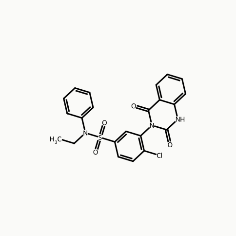 CCN(c1ccccc1)S(=O)(=O)c1ccc(Cl)c(-n2c(=O)[nH]c3ccccc3c2=O)c1